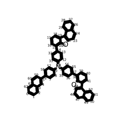 c1ccc2cc(-c3ccc(N(c4ccc(-c5cccc6c5oc5ccc7ccccc7c56)cc4)c4ccc(-c5cccc6c5oc5ccc7ccccc7c56)cc4)cc3)ccc2c1